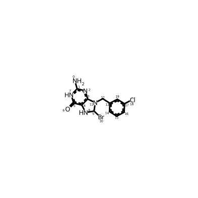 Nc1nc2c(c(=O)[nH]1)NC(Br)N2Cc1cccc(Cl)c1